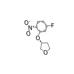 O=[N+]([O-])c1ccc(F)cc1O[C@H]1CCOC1